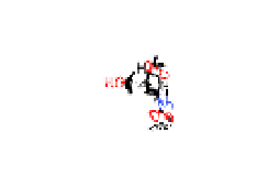 CC(C)(C)OC(=O)N[C@@H]1C[C@H](C(C)(C)O)[C@H]2OC(C)(C)O[C@H]21